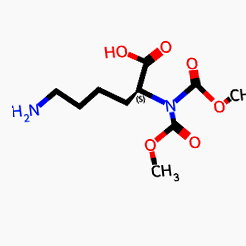 COC(=O)N(C(=O)OC)[C@@H](CCCCN)C(=O)O